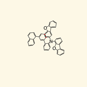 c1cc(-c2ccccc2N(c2ccc3oc4ccccc4c3c2)c2cccc3c2oc2ccccc23)cc(-c2cccc3ccccc23)c1